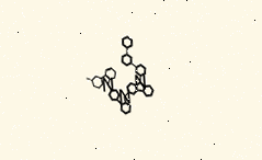 C[C@@H]1CCC2C(C1)C1=C(CCC=C1)N2c1ccc2c3ccccc3n(-c3ccc4c(c3)c3ccccc3n4-c3cccc(-c4cccc(-c5ccccc5)c4)c3)c2c1